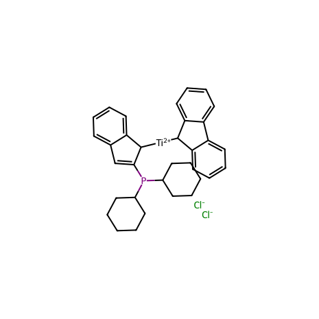 C1=C(P(C2CCCCC2)C2CCCCC2)[CH]([Ti+2][CH]2c3ccccc3-c3ccccc32)c2ccccc21.[Cl-].[Cl-]